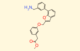 COC(=O)Cc1cccc(OCc2cc3cccc(-c4cccc(CN)c4)c3o2)c1